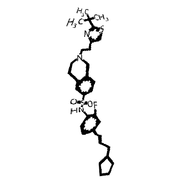 CC(C)(C)c1nc(CCN2CCc3cc(S(=O)(=O)Nc4ccc(CCCC5CCCC5)cc4F)ccc3C2)cs1